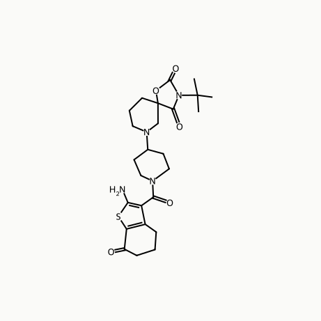 CC(C)(C)N1C(=O)OC2(CCCN(C3CCN(C(=O)c4c(N)sc5c4CCCC5=O)CC3)C2)C1=O